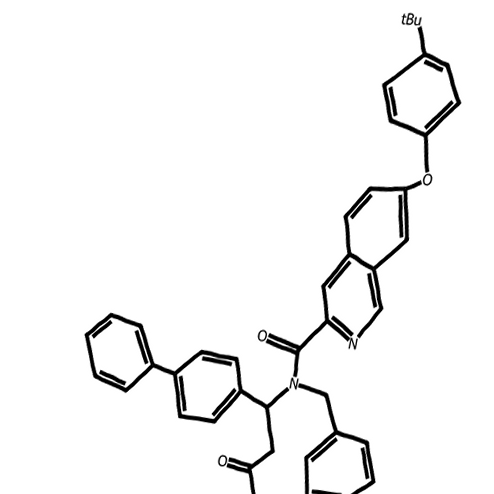 COC(=O)CC(c1ccc(-c2ccccc2)cc1)N(Cc1ccccc1)C(=O)c1cc2ccc(Oc3ccc(C(C)(C)C)cc3)cc2cn1